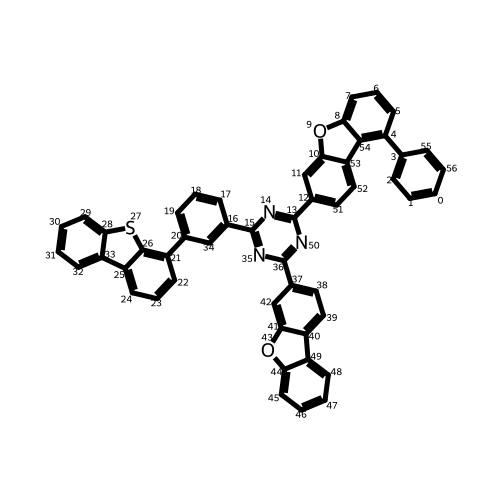 c1ccc(-c2cccc3oc4cc(-c5nc(-c6cccc(-c7cccc8c7sc7ccccc78)c6)nc(-c6ccc7c(c6)oc6ccccc67)n5)ccc4c23)cc1